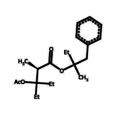 CCC(C)(Cc1ccccc1)OC(=O)[C@H](C)C(CC)(CC)OC(C)=O